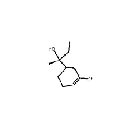 CCC1=CCCC([C@](C)(O)CI)C1